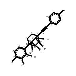 Cc1ccc(C#CC23CCC(c4ccc(C)c(F)c4F)(CC2)C(F)(F)C3(F)F)cc1